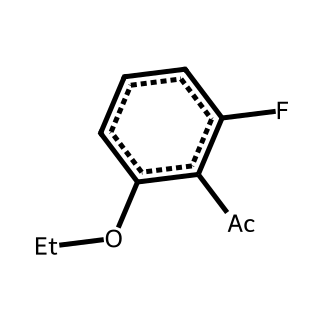 CCOc1cccc(F)c1C(C)=O